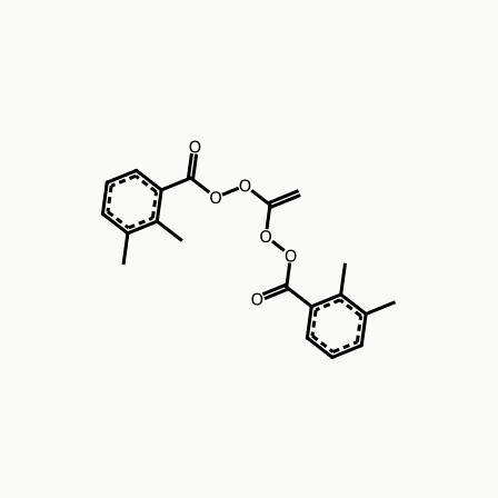 C=C(OOC(=O)c1cccc(C)c1C)OOC(=O)c1cccc(C)c1C